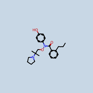 CCCc1ccccc1C(=O)N(OCC(C)(C)N1CCCC1)c1ccc(O)cc1